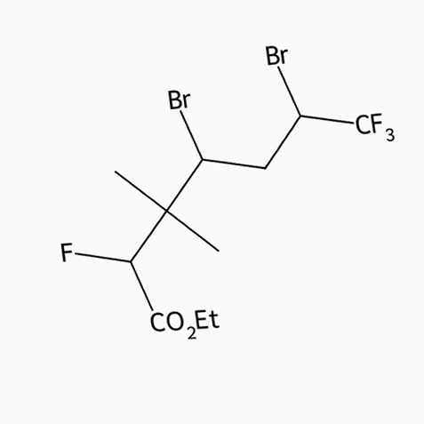 CCOC(=O)C(F)C(C)(C)C(Br)CC(Br)C(F)(F)F